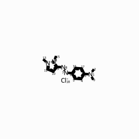 CN(C)c1ccc(/N=N/c2cc[n+](C)n2C)cc1.[Cl-]